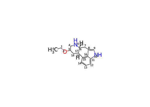 CCOC1CN[C@@H]2Cc3c[nH]c4cccc(c34)[C@H]2C1